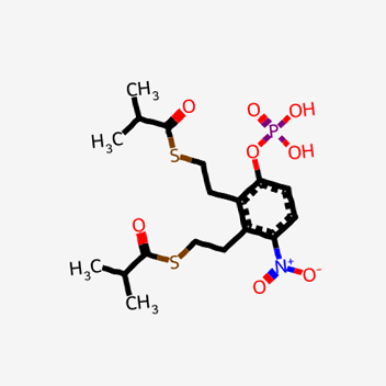 CC(C)C(=O)SCCc1c(OP(=O)(O)O)ccc([N+](=O)[O-])c1CCSC(=O)C(C)C